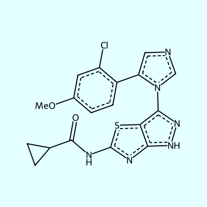 COc1ccc(-c2cncn2-c2n[nH]c3nc(NC(=O)C4CC4)sc23)c(Cl)c1